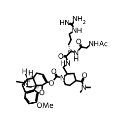 COc1ccc2c3c1OC1C(OC(=O)N4CCC(C(=O)N(C)C)CC4CNC(=O)[C@H](CCCNC(=N)N)NC(=O)CNC(C)=O)=CC[C@H]4[C@@H](C2)N(C)CC[C@]314